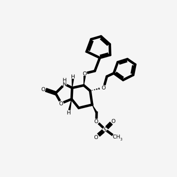 CS(=O)(=O)OC[C@H]1C[C@@H]2OC(=O)N[C@@H]2[C@@H](OCc2ccccc2)[C@@H]1OCc1ccccc1